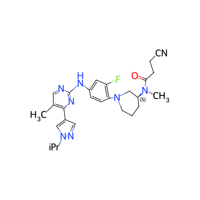 Cc1cnc(Nc2ccc(N3CCC[C@H](N(C)C(=O)CCC#N)C3)c(F)c2)nc1-c1cnn(C(C)C)c1